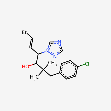 CCC=CC(C(O)C(C)(C)Cc1ccc(Cl)cc1)n1cncn1